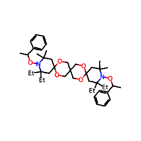 CCC1(CC)CC2(CC(C)(C)N1OC(C)c1ccccc1)OCC1(CO2)COC2(CC(C)(C)N(OC(C)c3ccccc3)C(CC)(CC)C2)OC1